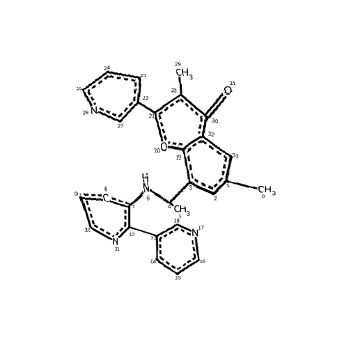 Cc1cc(C(C)Nc2cccnc2-c2cccnc2)c2oc(-c3cccnc3)c(C)c(=O)c2c1